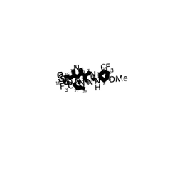 COc1cc(Nc2ncc(-c3cncc(C(=O)CS(C)(=O)=O)c3)c(-n3nc(C(F)(F)F)cc3C)n2)cc(C(F)(F)F)c1